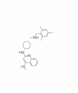 Cc1cc(C)c(CNC[C@H]2CC[C@@H](Nc3cc(N(C)C)c4ccccc4n3)CC2)c(C)c1